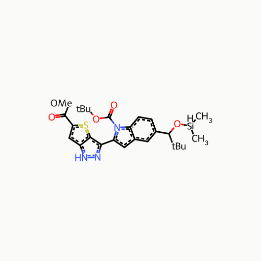 COC(=O)c1cc2[nH]nc(-c3cc4cc(C(O[SiH](C)C)C(C)(C)C)ccc4n3C(=O)OC(C)(C)C)c2s1